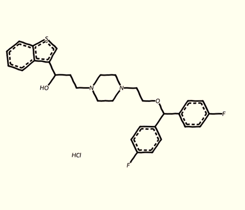 Cl.OC(CCN1CCN(CCOC(c2ccc(F)cc2)c2ccc(F)cc2)CC1)c1csc2ccccc12